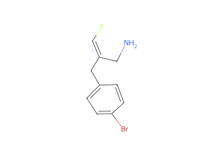 NC/C(=C\F)Cc1ccc(Br)cc1